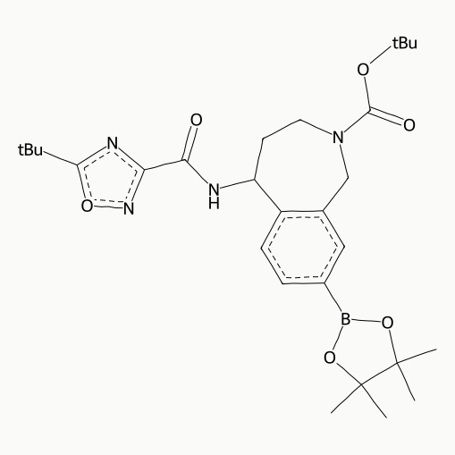 CC(C)(C)OC(=O)N1CCC(NC(=O)c2noc(C(C)(C)C)n2)c2ccc(B3OC(C)(C)C(C)(C)O3)cc2C1